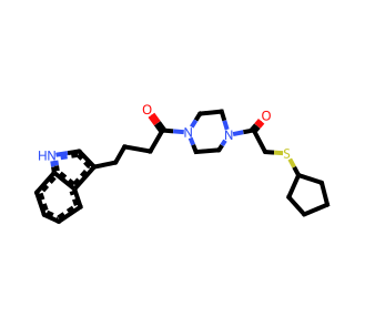 O=C(CCCc1c[nH]c2ccccc12)N1CCN(C(=O)CSC2CCCC2)CC1